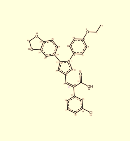 CCOc1ccc(-n2nc(/C=C(\C(=O)O)c3cccc(Cl)c3)cc2-c2ccc3c(c2)OCO3)cc1